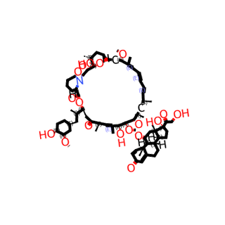 CO[C@H]1C[C@@H]2CC[C@@H](C)[C@@](O)(O2)C(=O)C(=O)N2CCCC[C@H]2C(=O)O[C@H]([C@H](C)C[C@@H]2CC[C@@H](O)[C@H](OC)C2)CC(=O)[C@H](C)/C=C(\C)[C@@H](O)[C@@H](OC)C(=O)[C@H](C)C[C@H](C)/C=C/C=C/C=C/1C.C[C@]12C=CC(=O)C=C1CC[C@@H]1[C@@H]2C(=O)C[C@@]2(C)[C@H]1CC[C@]2(O)C(=O)CO